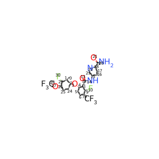 Cc1c(Oc2ccc(C(F)(F)F)c(F)c2C(=O)Nc2ccc(C(N)=O)nc2)ccc(OC(F)(F)F)c1F